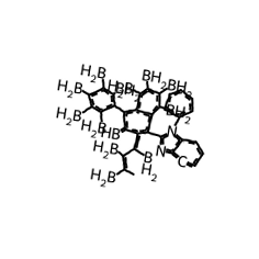 B=c1c(-c2c(B)c(B)c(B)c(B)c2B)c2c(B)c(B)c(B)c(B)c2c(-c2nc3ccccc3n2-c2ccccc2)/c1=C(B)/C(B)=C(/B)C